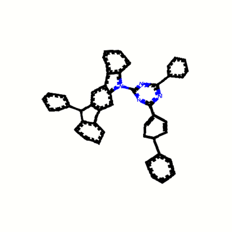 C1=CC(c2ccccc2)CC=C1c1nc(-c2ccccc2)nc(-n2c3ccccc3c3cc4c(cc32)-c2ccccc2C4c2ccccc2)n1